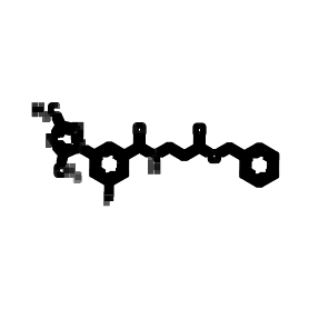 Cc1nc(C)n(-c2cc(F)cc(C(=O)NCCC(=O)OCc3ccccc3)c2)n1